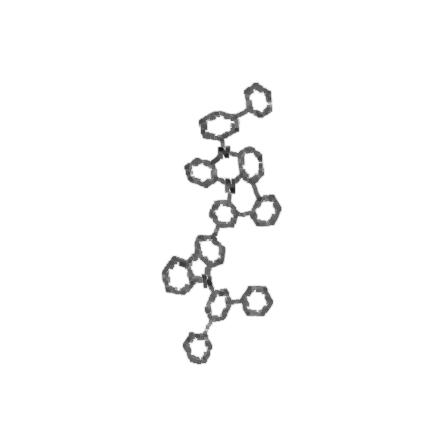 c1ccc(-c2cccc(N3c4ccccc4N4c5ccc(-c6ccc7c(c6)c6ccccc6n7-c6cc(-c7ccccc7)cc(-c7ccccc7)c6)cc5-c5ccccc5-c5cccc3c54)c2)cc1